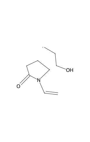 C=CN1CCCC1=O.[CH2]CCO